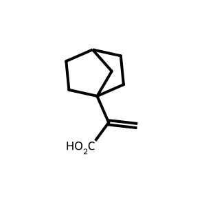 C=C(C(=O)O)C12CCC(CC1)C2